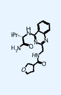 CC(C)[C@H](Nc1nc(CNC(=O)C2CCOC2)nc2ccccc12)C(N)=O